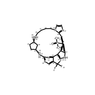 CP(C)(=O)c1c2ccc3c(c[nH]c13)-c1nc(ncc1C(F)(F)F)N[C@H]1CC[C@@H](C1)NCCCCn1ccnc1-2